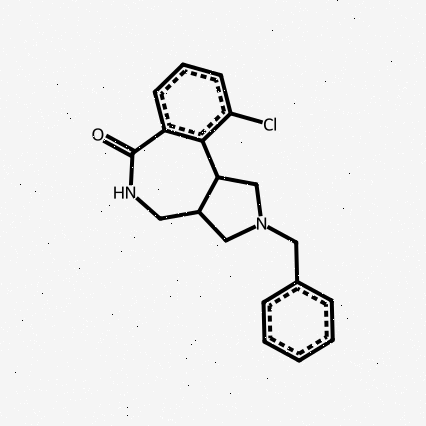 O=C1NCC2CN(Cc3ccccc3)CC2c2c(Cl)cccc21